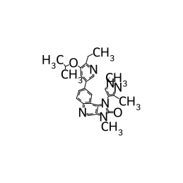 CCc1ncc(-c2ccc3ncc4c(c3c2)n(-c2cn(C)nc2C)c(=O)n4C)cc1OC(C)C